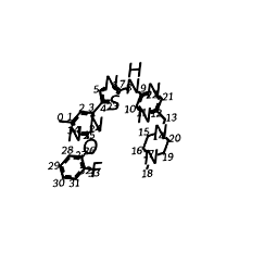 Cc1cc(-c2cnc(Nc3cnc(CN4CCN(C)CC4)cn3)s2)nc(Oc2ccccc2F)n1